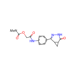 CNC(=O)OCC(=O)Nc1ccc(C2=NNC(=O)C3CC23)cc1